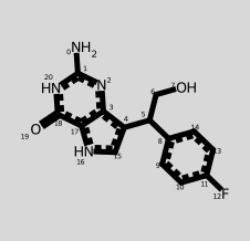 Nc1nc2c(C(CO)c3ccc(F)cc3)c[nH]c2c(=O)[nH]1